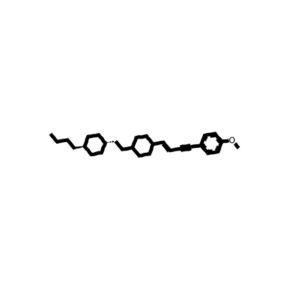 CCCC[C@H]1CC[C@H](CCC2CCC(/C=C/C#Cc3ccc(OC)cc3)CC2)CC1